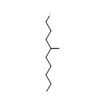 FCCCC(Cl)CCCCCl